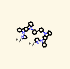 Cc1cccc(-n2c3ccccc3c3cc4c5ccccc5n(-c5cccc(-c6cccc(-n7c8ccccc8c8cc9c%10ccccc%10n(-c%10cccc(C)n%10)c9cc87)c6)c5)c4cc32)n1